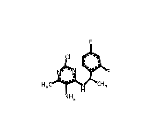 Cc1nc(Cl)nc(N[C@H](C)c2ccc(F)cc2F)c1N